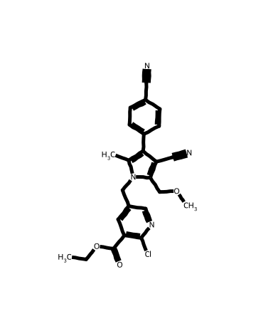 CCOC(=O)c1cc(Cn2c(C)c(-c3ccc(C#N)cc3)c(C#N)c2COC)cnc1Cl